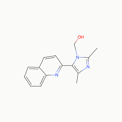 Cc1nc(C)n(CO)c1-c1ccc2ccccc2n1